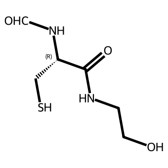 O=CN[C@@H](CS)C(=O)NCCO